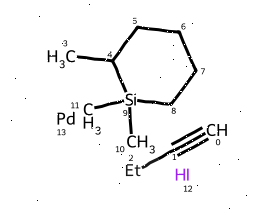 C#CCC.CC1CCCC[Si]1(C)C.I.[Pd]